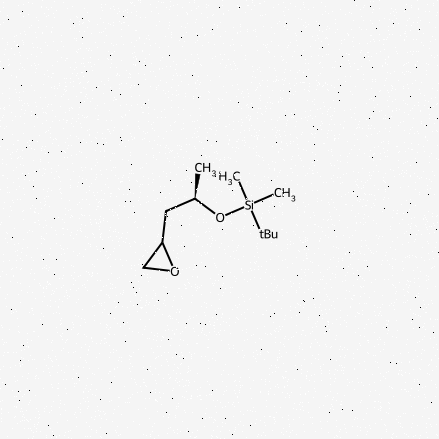 C[C@H](CC1CO1)O[Si](C)(C)C(C)(C)C